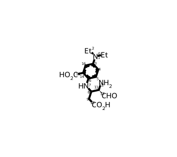 CCN(CC)c1ccc(NC(CC(=O)O)[C@H](N)C=O)c(C(=O)O)c1